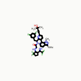 CNc1nn(C)c2c(-c3ccc(C#CC(C)(C)O)nc3C(Cc3cc(F)cc(F)c3)NC(=O)CNC3=C(C(=N)C(F)F)CCC3(F)F)cccc12